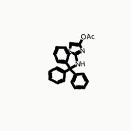 CC(=O)Oc1csc(NC(c2ccccc2)(c2ccccc2)c2ccccc2)n1